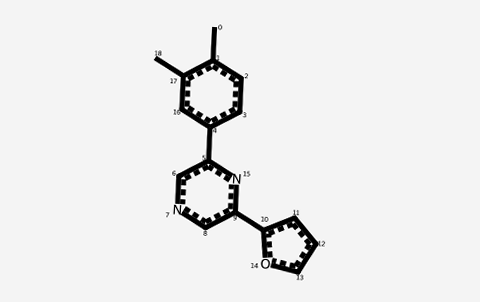 Cc1ccc(-c2cncc(-c3ccco3)n2)cc1C